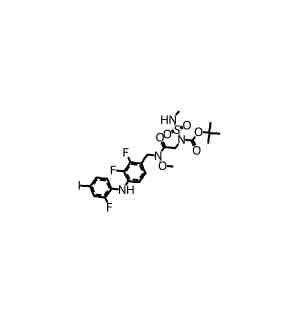 CNS(=O)(=O)N(CC(=O)N(Cc1ccc(Nc2ccc(I)cc2F)c(F)c1F)OC)C(=O)OC(C)(C)C